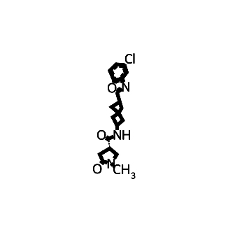 CN1C[C@@H](C(=O)NC2CC3(C2)CC(c2nc4cc(Cl)ccc4o2)C3)CC1=O